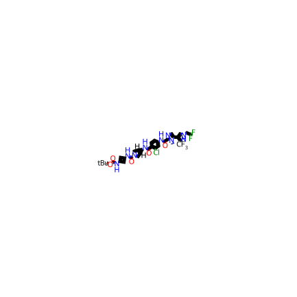 Cn1c(-c2cn(CC(F)F)nc2C(F)(F)F)cnc1C(=O)Nc1ccc(C(=O)NC2[C@H]3CN(C(=O)N[C@H]4C[C@@H](NC(=O)OC(C)(C)C)C4)C[C@@H]23)c(Cl)c1